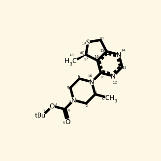 CC1CN(C(=O)OC(C)(C)C)CCN1c1ncnc2c1[C@@H](C)SC2